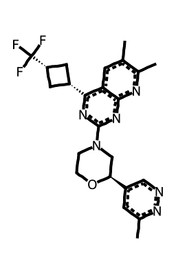 Cc1cc([C@@H]2CN(c3nc4nc(C)c(C)cc4c([C@H]4C[C@@H](C(F)(F)F)C4)n3)CCO2)cnn1